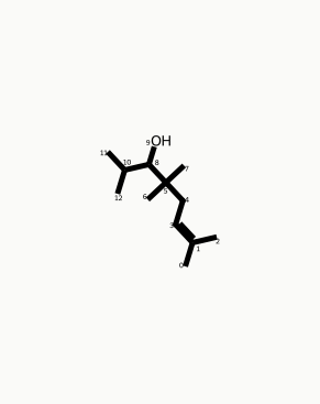 CC(C)=CCC(C)(C)C(O)C(C)C